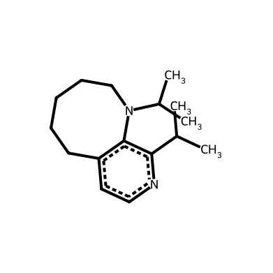 CC(C)c1nccc2c1N(C(C)C)CCCCC2